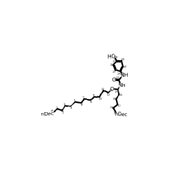 CCCCCCCCCCCCCCCCCCCCCCOC(CCCCCCCCCCCCCC)NC(=O)Nc1ccc(O)cc1